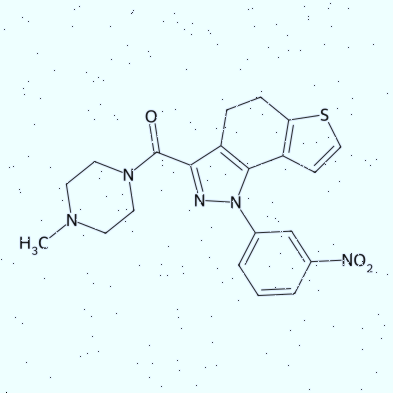 CN1CCN(C(=O)c2nn(-c3cccc([N+](=O)[O-])c3)c3c2CCc2sccc2-3)CC1